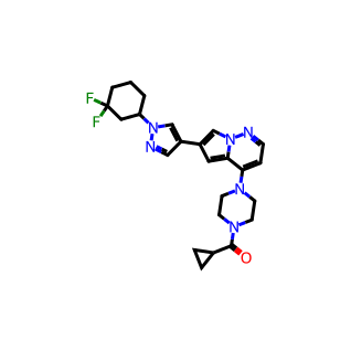 O=C(C1CC1)N1CCN(c2ccnn3cc(-c4cnn(C5CCCC(F)(F)C5)c4)cc23)CC1